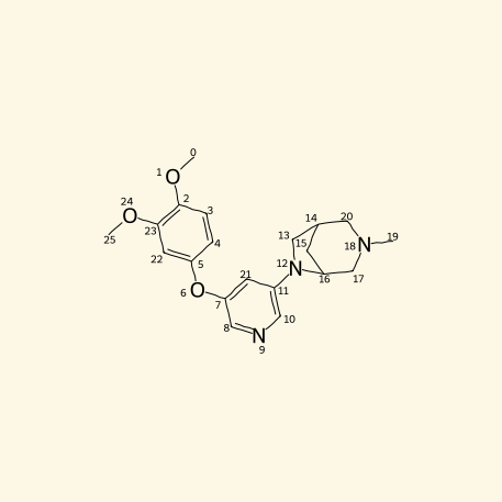 COc1ccc(Oc2cncc(N3CC4CC3CN(C)C4)c2)cc1OC